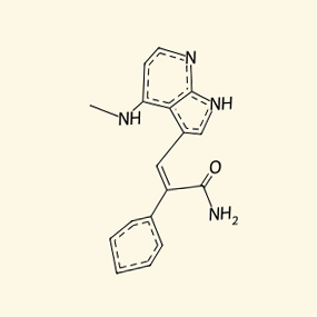 CNc1ccnc2[nH]cc(C=C(C(N)=O)c3ccccc3)c12